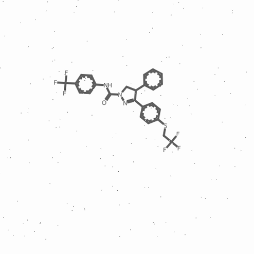 O=C(Nc1ccc(C(F)(F)F)cc1)N1CC(c2ccccc2)C(c2ccc(SCC(F)(F)F)cc2)=N1